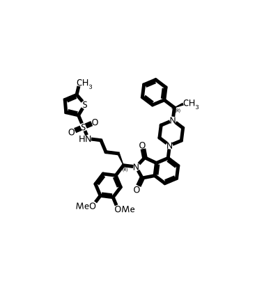 COc1ccc([C@@H](CCCNS(=O)(=O)c2ccc(C)s2)N2C(=O)c3cccc(N4CCN([C@H](C)c5ccccc5)CC4)c3C2=O)cc1OC